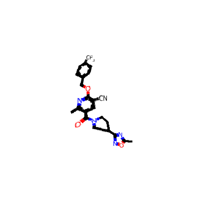 Cc1nc(C2CCN(C(=O)c3cc(C#N)c(OCc4ccc(C(F)(F)F)cc4)nc3C)CC2)no1